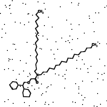 CCCCCCCCCCCCCCCCCCN(CCCCCCCCCCCCCCCCCC)C(=O)COCC(C1CCCCC1)C1CCCCC1